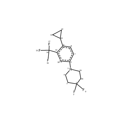 FC1(F)CCN(c2ccc(C3CC3)c(C(F)(F)F)n2)CC1